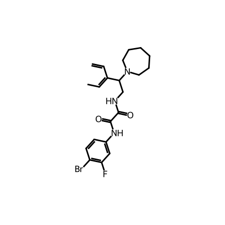 C=C/C(=C\C)C(CNC(=O)C(=O)Nc1ccc(Br)c(F)c1)N1CCCCCC1